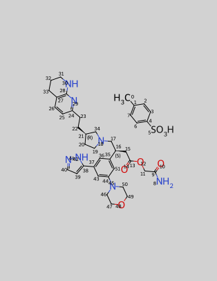 Cc1ccc(S(=O)(=O)O)cc1.NC(=O)COC(=O)C[C@H](CN1CC[C@@H](CCc2ccc3c(n2)NCCC3)C1)c1cc(-c2ccn[nH]2)cc(N2CCOCC2)c1